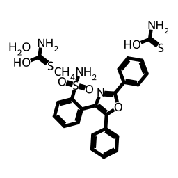 C.NC(O)=S.NC(O)=S.NS(=O)(=O)c1ccccc1-c1nc(-c2ccccc2)oc1-c1ccccc1.O